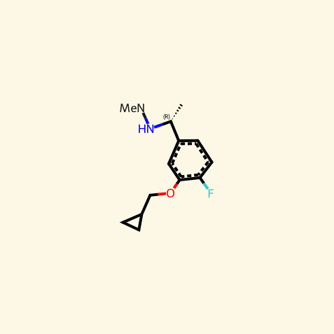 CNN[C@H](C)c1ccc(F)c(OCC2CC2)c1